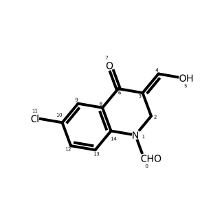 O=CN1CC(=CO)C(=O)c2cc(Cl)ccc21